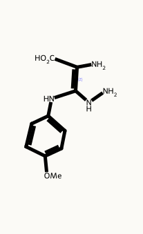 COc1ccc(N/C(NN)=C(/N)C(=O)O)cc1